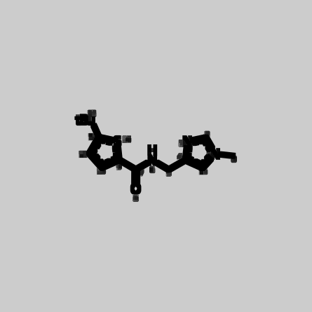 Cn1cnc(CNC(=O)c2ccc(C(C)(C)C)s2)c1